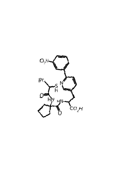 CC(C)C(S)C(=O)NC1(C(=O)NC(Cc2ccc(-c3cccc([N+](=O)[O-])c3)nc2)C(=O)O)CCCC1